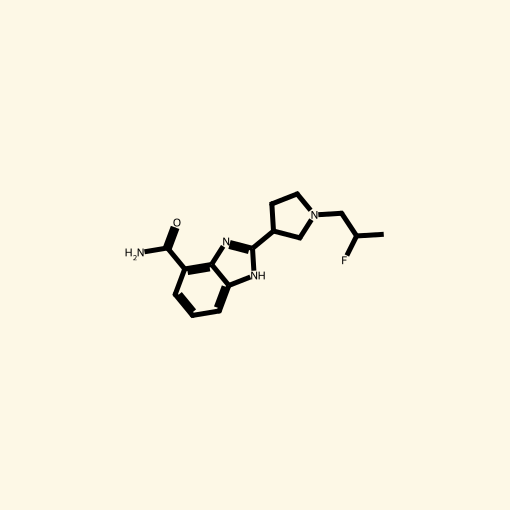 CC(F)CN1CCC(c2nc3c(C(N)=O)cccc3[nH]2)C1